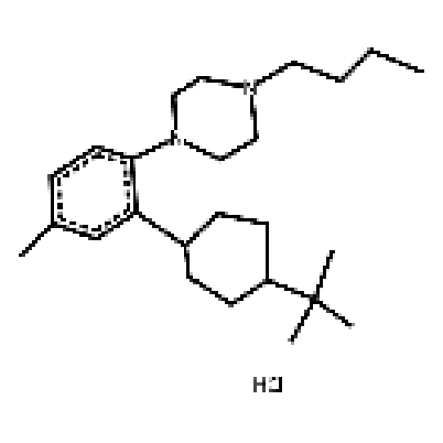 CCCCN1CCN(c2ccc(C)cc2C2CCC(C(C)(C)C)CC2)CC1.Cl